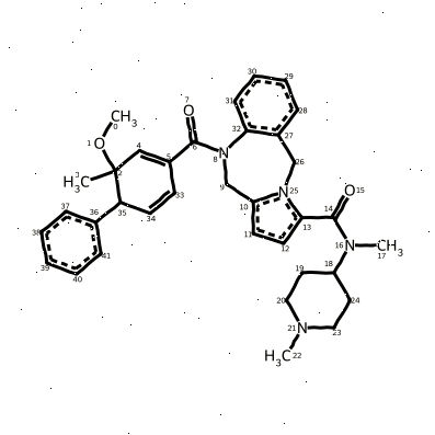 COC1(C)C=C(C(=O)N2Cc3ccc(C(=O)N(C)C4CCN(C)CC4)n3Cc3ccccc32)C=CC1c1ccccc1